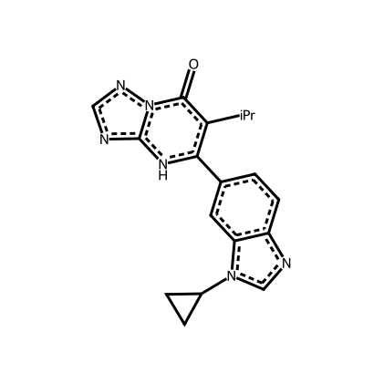 CC(C)c1c(-c2ccc3ncn(C4CC4)c3c2)[nH]c2ncnn2c1=O